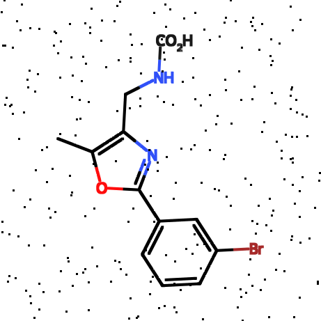 Cc1oc(-c2cccc(Br)c2)nc1CNC(=O)O